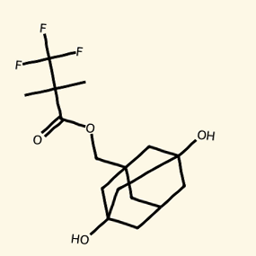 CC(C)(C(=O)OCC12CC3CC(O)(CC(O)(C3)C1)C2)C(F)(F)F